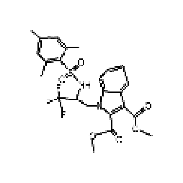 COC(=O)c1c(C(=O)OC)n(CC(NS(=O)(=O)c2c(C)cc(C)cc2C)C(F)(F)F)c2ccccc12